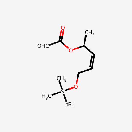 C[C@@H](/C=C\CO[Si](C)(C)C(C)(C)C)OC(=O)C=O